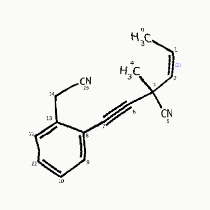 C/C=C\C(C)(C#N)C#Cc1ccccc1CC#N